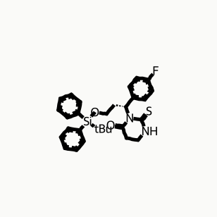 CC(C)(C)[Si](OCC[C@H](c1ccc(F)cc1)N1C(=O)CCNC1=S)(c1ccccc1)c1ccccc1